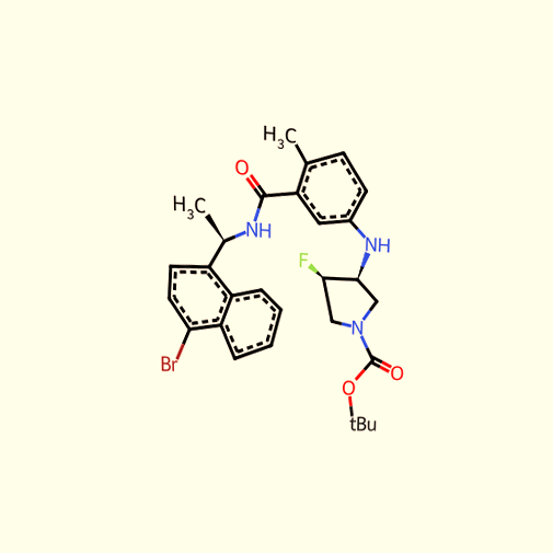 Cc1ccc(N[C@H]2CN(C(=O)OC(C)(C)C)C[C@H]2F)cc1C(=O)N[C@H](C)c1ccc(Br)c2ccccc12